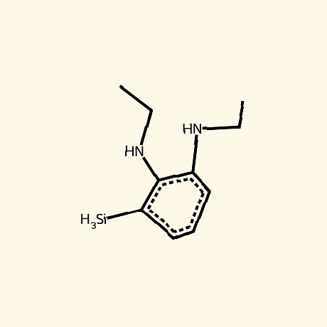 CCNc1cccc([SiH3])c1NCC